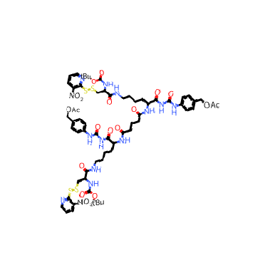 CC(=O)OCc1ccc(NC(=O)NC(=O)C(CCCCNC(=O)C(CSSc2ncccc2[N+](=O)[O-])NC(=O)OC(C)(C)C)NC(=O)CCCC(=O)NC(CCCCNC(=O)C(CSSc2ncccc2[N+](=O)[O-])NC(=O)OC(C)(C)C)C(=O)NC(=O)Nc2ccc(COC(C)=O)cc2)cc1